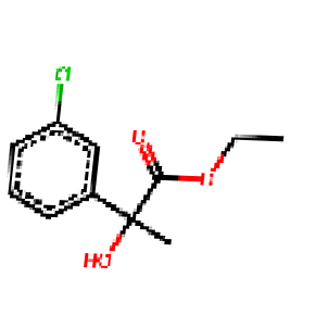 CCOC(=O)C(C)(O)c1cccc(Cl)c1